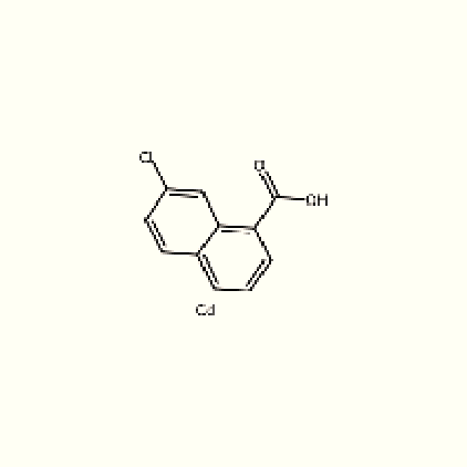 O=C(O)c1cccc2ccc(Cl)cc12.[Cd]